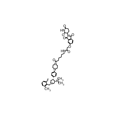 Cc1cccc(F)c1CN1C[C@H](c2ccc(N3CCN(C(=O)CCCCCNC(=O)COc4ccc5c(c4)C(=O)N(C4CCC(=O)NC4=O)C5=O)CC3)cc2)[C@@H](N(C)C)C1